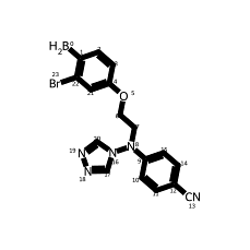 Bc1ccc(OCCN(c2ccc(C#N)cc2)n2cnnc2)cc1Br